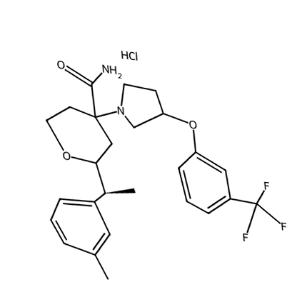 Cc1cccc([C@H](C)C2CC(C(N)=O)(N3CCC(Oc4cccc(C(F)(F)F)c4)C3)CCO2)c1.Cl